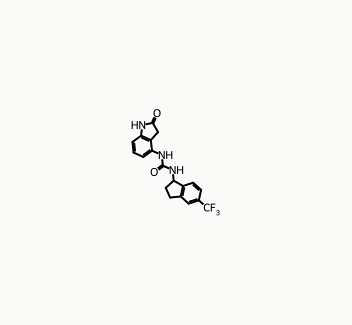 O=C1Cc2c(cccc2NC(=O)NC2CCc3cc(C(F)(F)F)ccc32)N1